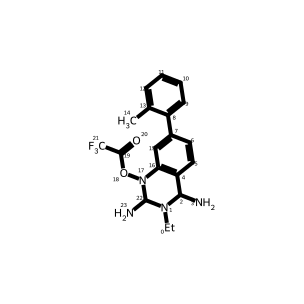 CCN1C(N)c2ccc(-c3ccccc3C)cc2N(OC(=O)C(F)(F)F)C1N